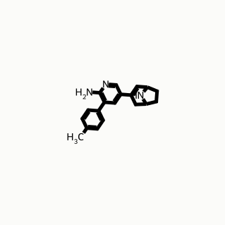 Cc1ccc(-c2cc(C3=CC4CCC(C3)N4)cnc2N)cc1